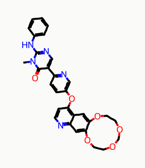 Cn1c(Nc2ccccc2)ncc(-c2ccc(Oc3ccnc4cc5c(cc34)OCCOCOCCO5)cn2)c1=O